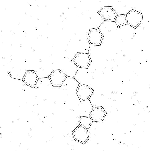 C=Cc1ccc(-c2ccc(N(c3ccc(-c4ccc(-c5cccc6c5oc5ccccc56)cc4)cc3)c3ccc(-c4cccc5c4oc4ccccc45)cc3)cc2)cc1